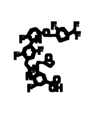 O=C(O)c1cc(F)c2nc(Cc3cc(F)c(-c4nc(OCc5ccc(C(F)F)cc5F)ccc4F)cc3F)n(C[C@@H]3CCO3)c2c1